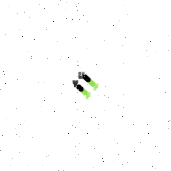 [F][Y].[Li][F]